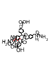 N=C(N)NCCC[C@H](C(=O)NCC(=O)O)N(Cc1ccc(CNC(N)=O)cc1)C(=O)C(c1ccc(OCC(=O)O)cc1)c1ccc(OCC(=O)O)cc1